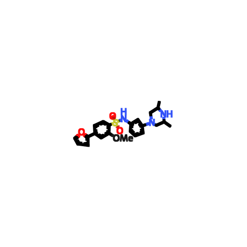 COc1cc(-c2ccco2)ccc1S(=O)(=O)Nc1cccc(N2CC(C)NC(C)C2)c1